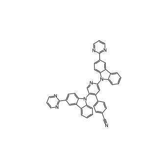 N#Cc1ccc(-c2cc(-n3c4ccccc4c4cc(-c5ncccn5)ccc43)ncc2-n2c3ccccc3c3cc(-c4ncccn4)ccc32)cc1